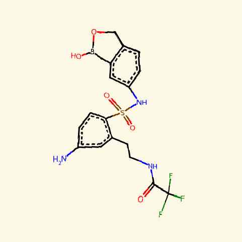 Nc1ccc(S(=O)(=O)Nc2ccc3c(c2)B(O)OC3)c(CCNC(=O)C(F)(F)F)c1